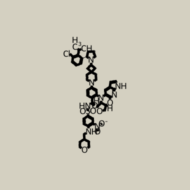 CC(C)c1c(Cl)cccc1[C@@H]1CCCN1C1CC2(CCN(c3ccc(C(=O)NS(=O)(=O)c4ccc(NCC5CCOCC5)c([N+](=O)[O-])c4)c(N4c5cc6cc[nH]c6nc5O[C@@H]5COC[C@H]54)c3)CC2)C1